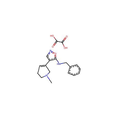 CN1CCC=C(c2cnoc2NCc2ccccc2)C1.O=C(O)C(=O)O